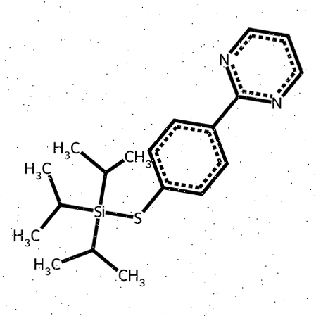 CC(C)[Si](Sc1ccc(-c2ncccn2)cc1)(C(C)C)C(C)C